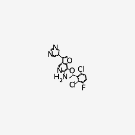 C[C@@H](Oc1c(N)ncc2c(-c3cncnc3)coc12)c1c(Cl)ccc(F)c1Cl